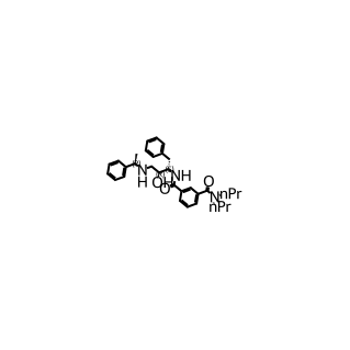 CCCN(CCC)C(=O)c1cccc(C(=O)N[C@@H](Cc2ccccc2)[C@H](O)CN[C@H](C)c2ccccc2)c1